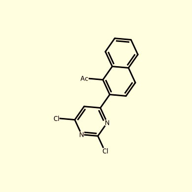 CC(=O)c1c(-c2cc(Cl)nc(Cl)n2)ccc2ccccc12